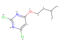 CC(C)CCOc1cc(Cl)nc(Cl)n1